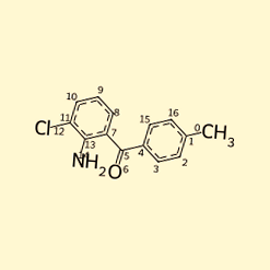 Cc1ccc(C(=O)c2cccc(Cl)c2N)cc1